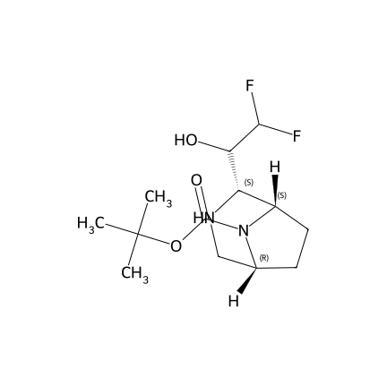 CC(C)(C)OC(=O)N1[C@@H]2CC[C@H]1[C@@H](C(O)C(F)F)NC2